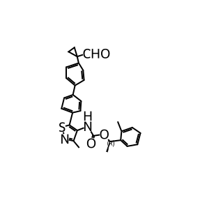 Cc1ccccc1[C@@H](C)OC(=O)Nc1c(C)nsc1-c1ccc(-c2ccc(C3(C=O)CC3)cc2)cc1